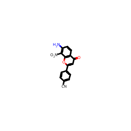 N#Cc1ccc(-c2cc(=O)c3ccc(N)c([N+](=O)[O-])c3o2)cc1